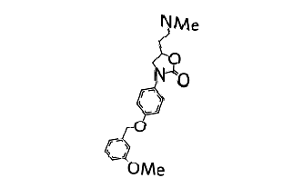 CNCCC1CN(c2ccc(OCc3cccc(OC)c3)cc2)C(=O)O1